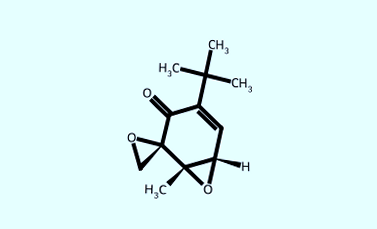 CC(C)(C)C1=C[C@@H]2O[C@]2(C)[C@@]2(CO2)C1=O